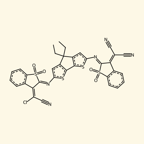 CCC1(CC)c2cc(/N=C3/C(=C(C#N)C#N)c4ccccc4S3(=O)=O)sc2-c2sc(/N=C3/C(=C(/Cl)C#N)c4ccccc4S3(=O)=O)cc21